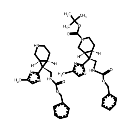 Cc1csc([C@@]2(CNC(=O)OCc3ccccc3)[C@@H]3CCN(C(=O)OC(C)(C)C)C[C@@H]32)n1.Cc1csc([C@@]2(CNC(=O)OCc3ccccc3)[C@@H]3CCNC[C@@H]32)n1